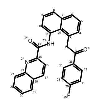 O=C(Cc1cccc2cccc(NC(=O)c3ccc4ccccc4n3)c12)c1ccc(F)cc1